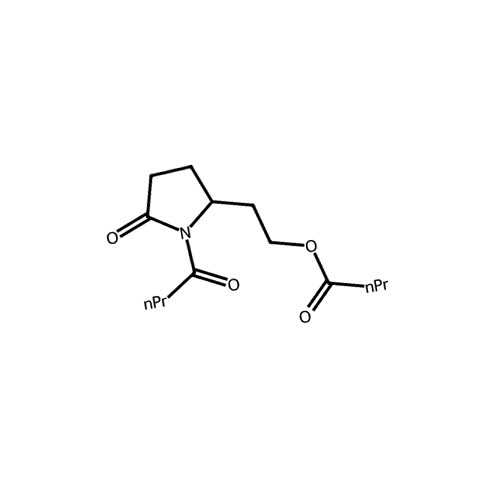 CCCC(=O)OCCC1CCC(=O)N1C(=O)CCC